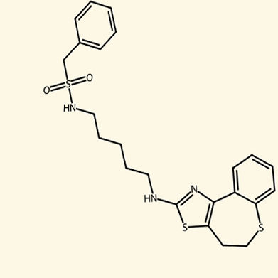 O=S(=O)(Cc1ccccc1)NCCCCCNc1nc2c(s1)CCSc1ccccc1-2